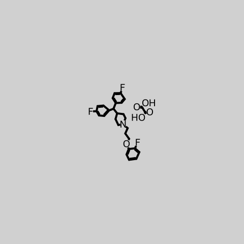 Fc1ccc(C(c2ccc(F)cc2)C2CCN(CCCOc3ccccc3F)CC2)cc1.O=C(O)C(=O)O